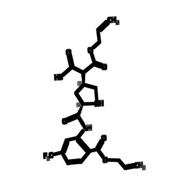 C=CCOC(=O)c1ccc(C(F)(F)F)cc1NC(=O)[C@@H]1C[C@@H](C(C(=O)S)C(=O)OCC=C)CN1